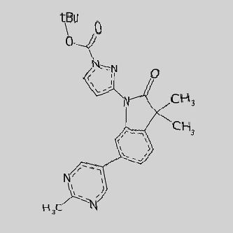 Cc1ncc(-c2ccc3c(c2)N(c2ccn(C(=O)OC(C)(C)C)n2)C(=O)C3(C)C)cn1